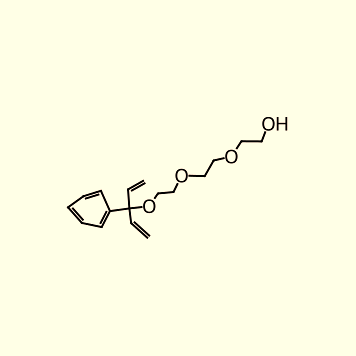 C=CC(C=C)(OCCOCCOCCO)c1ccccc1